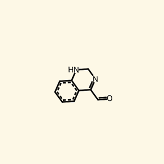 O=CC1=NCNc2ccccc21